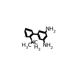 CN(C)c1[c]cccc1-c1cc(N)cc(N)c1